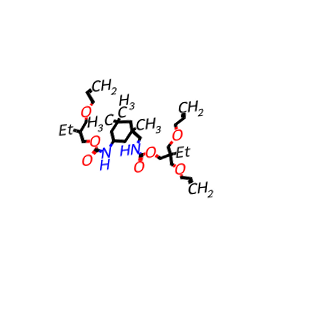 C=CCOCC(CC)COC(=O)NC1CC(C)(C)CC(C)(CNC(=O)OCC(CC)(COCC=C)COCC=C)C1